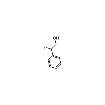 OCC(F)c1ccccc1